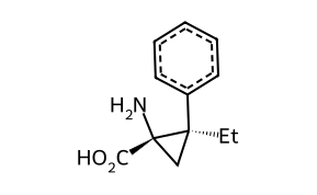 CC[C@]1(c2ccccc2)C[C@@]1(N)C(=O)O